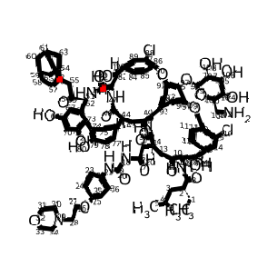 CC[C@H](CC(C)C)C(=O)N[C@H]1C(=O)C[C@@H](CC(=O)NC(=O)Nc2ccc(OCCN3CCOCC3)cc2)C(=O)NC2C(=O)C[C@H]3C(=O)N[C@H](C(=O)N[C@H](C(=O)CC4C5CC6CC(C5)CC4C6)c4cc(O)cc(O)c4-c4cc3ccc4O)[C@H](O)c3ccc(c(Cl)c3)Oc3cc2cc(c3O[C@@H]2O[C@H](CN)[C@@H](O)[C@H](O)[C@H]2O)Oc2ccc(cc2Cl)[C@H]1O